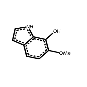 COc1ccc2cc[nH]c2c1O